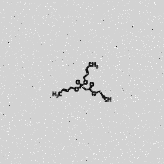 C#CCOC(=O)CP(=O)(OCC=CC)OCC=CC